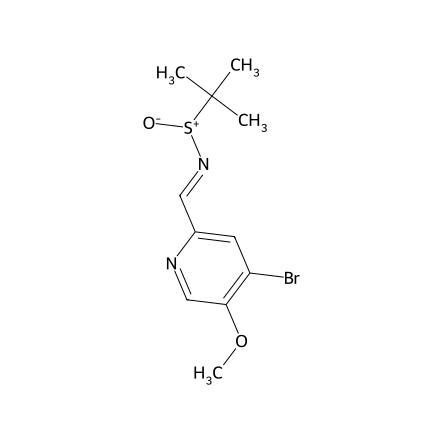 COc1cnc(C=N[S+]([O-])C(C)(C)C)cc1Br